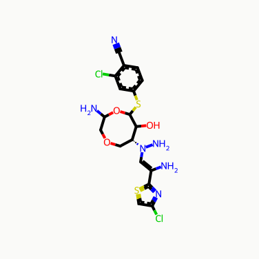 N#Cc1ccc(SC2OC(N)COC[C@@H](N(N)/C=C(\N)c3nc(Cl)cs3)C2O)cc1Cl